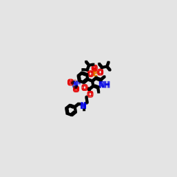 CC1=C(C(=O)OCCN(C)Cc2ccccc2)C(c2cccc([N+](=O)[O-])c2)C(P(=O)(OC(C)C(C)C)OC(C)C(C)C)=C(C)N1